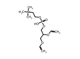 C=COCC(COP(=O)(O)OCC[N+](C)(C)C)OC=C